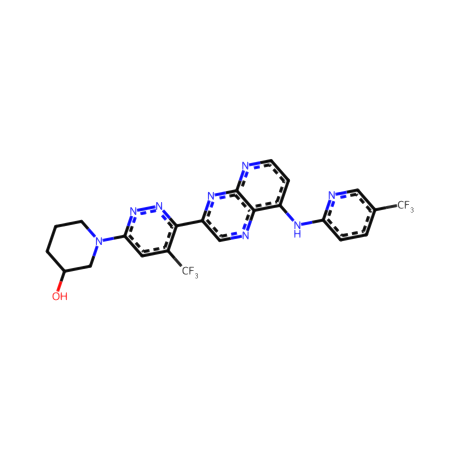 OC1CCCN(c2cc(C(F)(F)F)c(-c3cnc4c(Nc5ccc(C(F)(F)F)cn5)ccnc4n3)nn2)C1